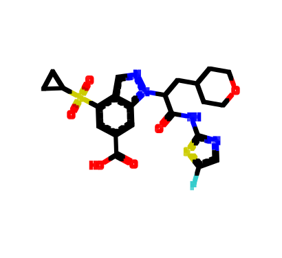 O=C(O)c1cc(S(=O)(=O)C2CC2)c2cnn(C(CC3CCOCC3)C(=O)Nc3ncc(F)s3)c2c1